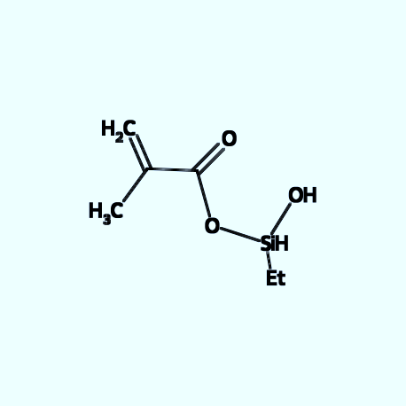 C=C(C)C(=O)O[SiH](O)CC